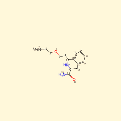 CNCCOCCC1NC(C(N)=O)Cc2ccccc21